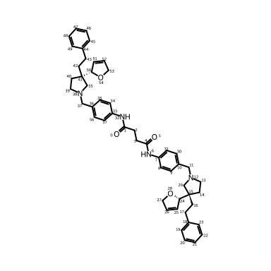 O=C(CCC(=O)Nc1ccc(CN2CC[C@](CCc3ccccc3)([C@@H]3C=CCO3)C2)cc1)Nc1ccc(CN2CCC(CCc3ccccc3)([C@@H]3C=CCO3)C2)cc1